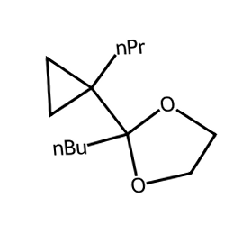 [CH2]CCC1(C2(CCCC)OCCO2)CC1